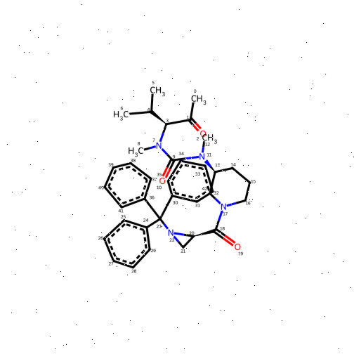 CC(=O)[C@H](C(C)C)N(C)C(=O)N(C)[C@H]1CCCN(C(=O)[C@H]2CN2C(c2ccccc2)(c2ccccc2)c2ccccc2)C1